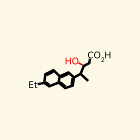 CCc1ccc2cc(C(C)[C@@H](O)CC(=O)O)ccc2c1